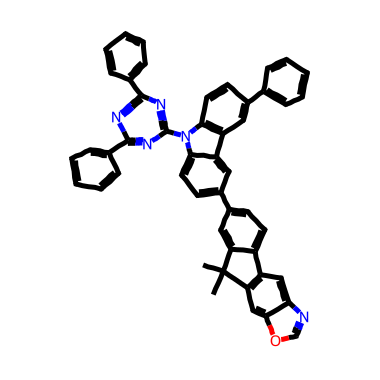 CC1(C)c2cc(-c3ccc4c(c3)c3cc(-c5ccccc5)ccc3n4-c3nc(-c4ccccc4)nc(-c4ccccc4)n3)ccc2-c2cc3ncoc3cc21